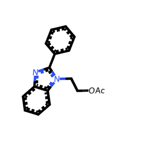 CC(=O)OCCn1c(-c2ccccc2)nc2ccccc21